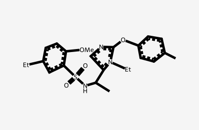 CCc1ccc(OC)c(S(=O)(=O)NC(C)c2cnc(Oc3ccc(C)cc3)n2CC)c1